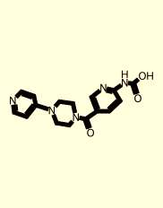 O=C(O)Nc1ccc(C(=O)N2CCN(c3ccncc3)CC2)cn1